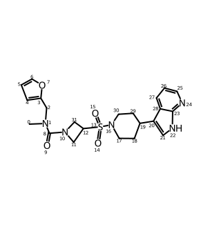 CN(Cc1ccco1)C(=O)N1CC(S(=O)(=O)N2CCC(c3c[nH]c4ncccc34)CC2)C1